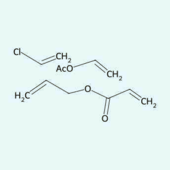 C=CCOC(=O)C=C.C=CCl.C=COC(C)=O